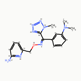 CN(C)c1cccc(C(=NOCc2cccc(N)n2)c2nnnn2C)c1